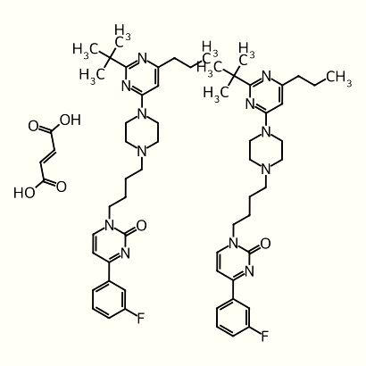 CCCc1cc(N2CCN(CCCCn3ccc(-c4cccc(F)c4)nc3=O)CC2)nc(C(C)(C)C)n1.CCCc1cc(N2CCN(CCCCn3ccc(-c4cccc(F)c4)nc3=O)CC2)nc(C(C)(C)C)n1.O=C(O)/C=C/C(=O)O